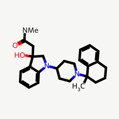 CNC(=O)CC1(O)CN(C2CCN(C3(C)CCCc4ccccc43)CC2)c2ccccc21